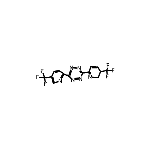 FC(F)(F)c1ccc(-c2nnc(C3=NCC(C(F)(F)F)C=C3)nn2)nc1